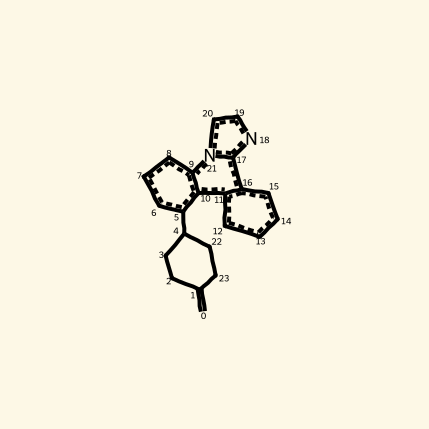 C=C1CCC(c2cccc3c2c2ccccc2c2nccn32)CC1